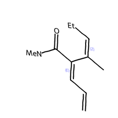 C=C/C=C(C(=O)NC)\C(C)=C/CC